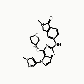 CN1Cc2cc(Nc3nc(O[C@H]4CCOC4)c4c(ccn4-c4cnn(C)c4)n3)ccc2C1=O